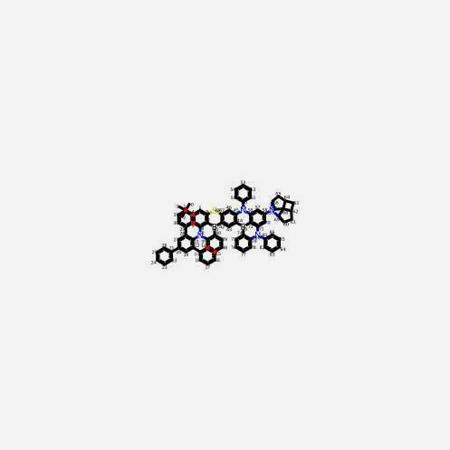 CC(C)(C)c1cc2c3c(c1)N(c1c(-c4ccccc4)cc(-c4ccccc4)cc1-c1ccccc1)c1ccccc1B3c1cc3c(cc1S2)N(c1ccccc1)c1cc(N2C4CC5CC6CC2CC56C4)cc2c1B3c1ccccc1N2c1ccccc1